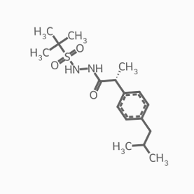 CC(C)Cc1ccc([C@@H](C)C(=O)NNS(=O)(=O)C(C)(C)C)cc1